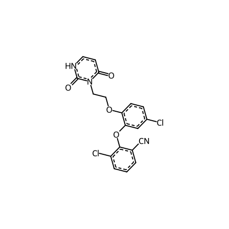 N#Cc1cccc(Cl)c1Oc1cc(Cl)ccc1OCCn1c(=O)cc[nH]c1=O